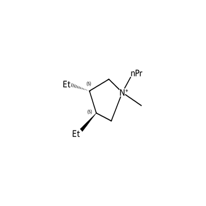 CCC[N+]1(C)C[C@@H](CC)[C@H](CC)C1